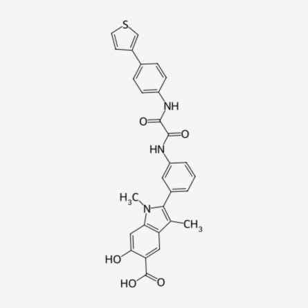 Cc1c(-c2cccc(NC(=O)C(=O)Nc3ccc(-c4ccsc4)cc3)c2)n(C)c2cc(O)c(C(=O)O)cc12